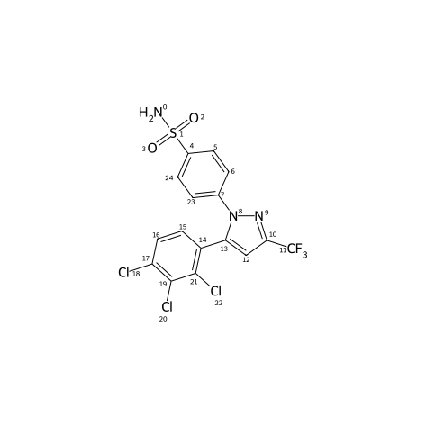 NS(=O)(=O)c1ccc(-n2nc(C(F)(F)F)cc2-c2ccc(Cl)c(Cl)c2Cl)cc1